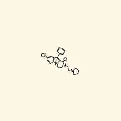 O=C1c2c(-c3ccccc3)c3cc(Cl)ccc3n2CCN1CCN1CCCC1